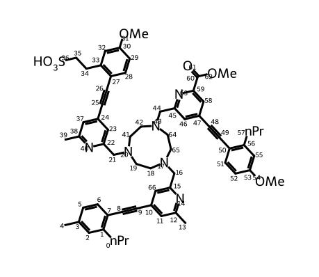 CCCc1cc(C)ccc1C#Cc1cc(C)nc(CN2CCN(Cc3cc(C#Cc4ccc(OC)cc4CCS(=O)(=O)O)cc(C)n3)CCN(Cc3cc(C#Cc4ccc(OC)cc4CCC)cc(C(=O)OC)n3)CC2)c1